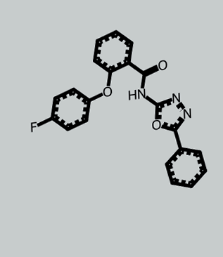 O=C(Nc1nnc(-c2ccccc2)o1)c1ccccc1Oc1ccc(F)cc1